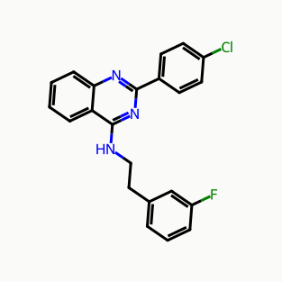 Fc1cccc(CCNc2nc(-c3ccc(Cl)cc3)nc3ccccc23)c1